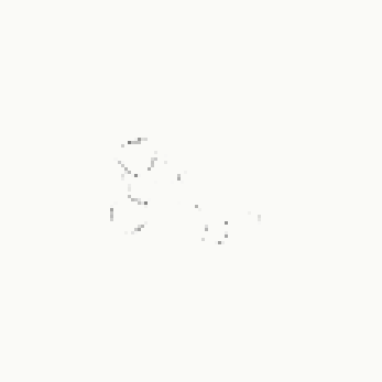 CC(C)(C)[Si](OC[C@@H]1CC[C@H]1CO)(c1ccccc1)c1ccccc1